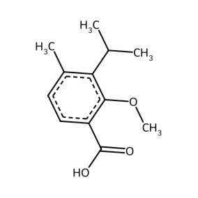 COc1c(C(=O)O)ccc(C)c1C(C)C